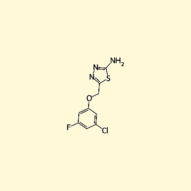 Nc1nnc(COc2cc(F)cc(Cl)c2)s1